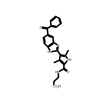 CCOC(=O)CCNC(=O)c1[nH]c(C)c(-c2nc3cc(C(=O)c4ccccc4)ccc3[nH]2)c1C